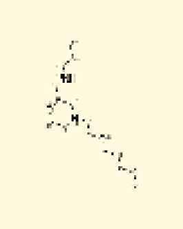 CCCCCOCCN1CCOC(CNCCC)C1